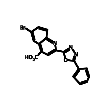 O=C(O)c1cc(-c2nnc(-c3ccccc3)o2)nc2ccc(Br)cc12